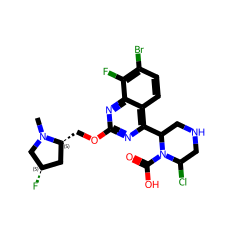 CN1C[C@@H](F)C[C@H]1COc1nc(C2CNCC(Cl)N2C(=O)O)c2ccc(Br)c(F)c2n1